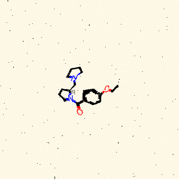 CCOc1ccc(C(=O)N2CCC[C@H]2CN2CCCC2)cc1